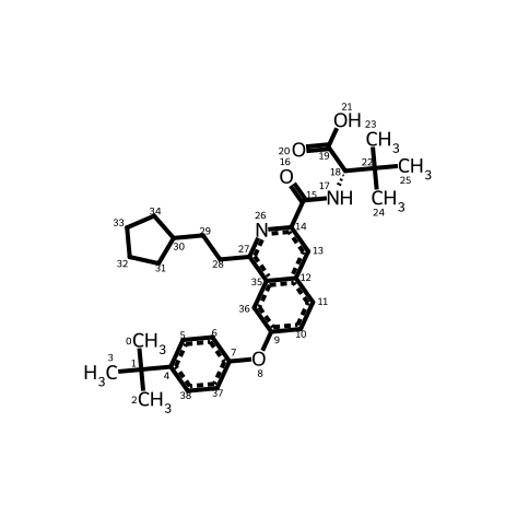 CC(C)(C)c1ccc(Oc2ccc3cc(C(=O)N[C@H](C(=O)O)C(C)(C)C)nc(CCC4CCCC4)c3c2)cc1